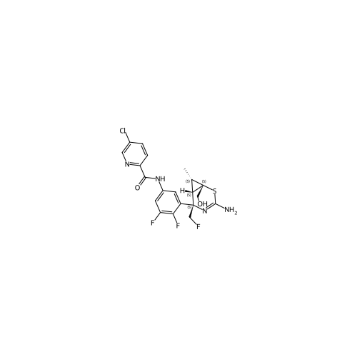 C[C@H]1[C@@H]2[C@@]1(CO)SC(N)=N[C@]2(CF)c1cc(NC(=O)c2ccc(Cl)cn2)cc(F)c1F